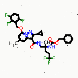 Cc1cc(OCc2c(F)ccc(F)c2F)n2nc(C3CC3)c(C(=O)NCC(C)(CCC(F)(F)F)NC(=O)OCc3ccccc3)c2c1